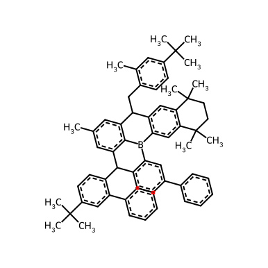 Cc1cc2c3c(c1)C(c1ccc(C(C)(C)C)cc1-c1ccccc1)c1ccc(-c4ccccc4)cc1B3c1cc3c(cc1C2Cc1ccc(C(C)(C)C)cc1C)C(C)(C)CCC3(C)C